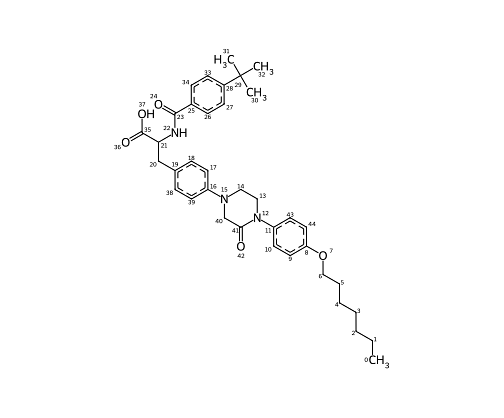 CCCCCCCOc1ccc(N2CCN(c3ccc(CC(NC(=O)c4ccc(C(C)(C)C)cc4)C(=O)O)cc3)CC2=O)cc1